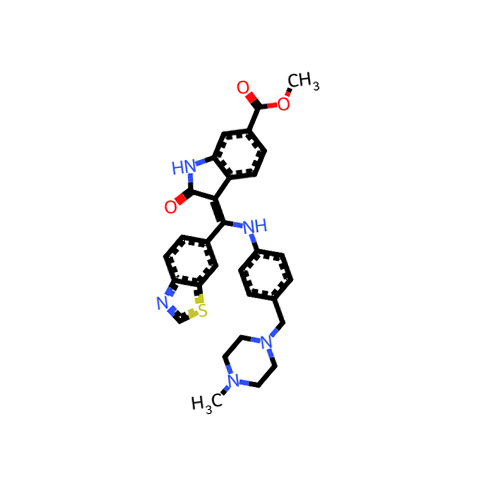 COC(=O)c1ccc2c(c1)NC(=O)C2=C(Nc1ccc(CN2CCN(C)CC2)cc1)c1ccc2ncsc2c1